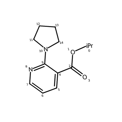 CC(C)OC(=O)c1cccnc1N1CCCC1